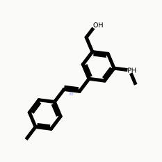 CPc1cc(/C=C/c2ccc(C)cc2)cc(CO)c1